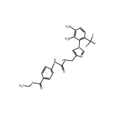 CCOC(=O)c1ccc(NC(=O)NCc2cn(-c3c(C(F)(F)F)ccc(N)c3N)cn2)cc1